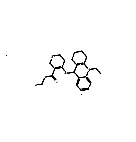 CCOC(=O)C1=C(NC2C3=C(CCCC3)N(CC)c3ccccc32)CCCC1